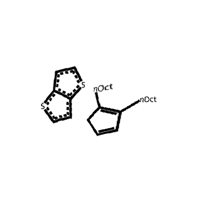 CCCCCCCCC1=C(CCCCCCCC)CC=C1.c1cc2sccc2s1